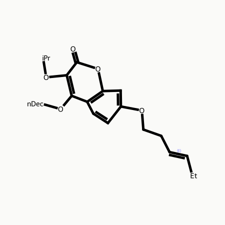 CC/C=C/CCOc1ccc2c(OCCCCCCCCCC)c(OC(C)C)c(=O)oc2c1